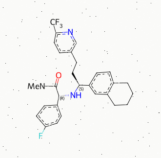 CNC(=O)[C@H](N[C@@H](CCc1ccc(C(F)(F)F)nc1)c1ccc2c(c1)CCCC2)c1ccc(F)cc1